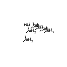 C[SiH2]C.C[SiH2]C.C[SiH2]C.C[SiH2]C.C[SiH2]C.C[SiH2]C.[LiH]